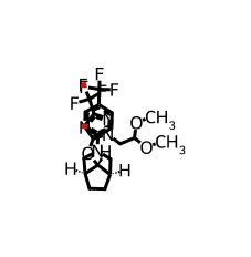 COC(Cn1nc(C(F)(F)F)cc1O[C@@H]1[C@@H]2CC[C@H]1CN(c1ccc(C(F)(F)F)cn1)C2)OC